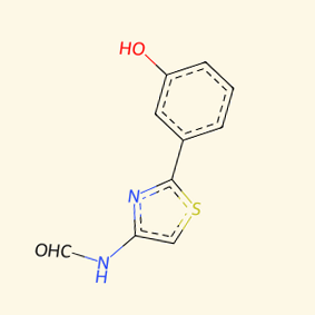 O=CNc1csc(-c2cccc(O)c2)n1